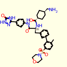 Cc1ccc(S(=O)(=O)N2CCOCC2)cc1-c1cccc(C[C@H](NC(=O)[C@H]2CC[C@H](CN)CC2)C(=O)Nc2ccc(-c3n[nH]c(=O)[nH]3)cc2)c1